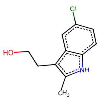 Cc1[nH]c2ccc(Cl)cc2c1CCO